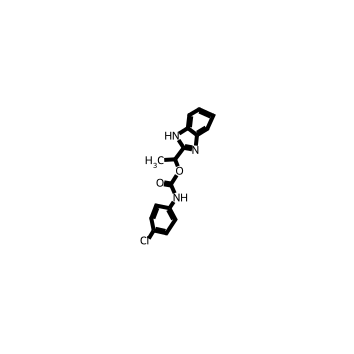 CC(OC(=O)Nc1ccc(Cl)cc1)c1nc2ccccc2[nH]1